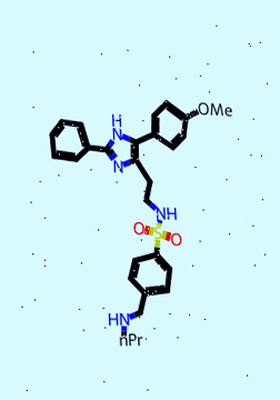 CCCNCc1ccc(S(=O)(=O)NCCc2nc(-c3ccccc3)[nH]c2-c2ccc(OC)cc2)cc1